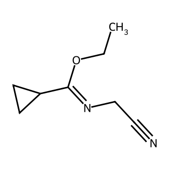 CCOC(=NCC#N)C1CC1